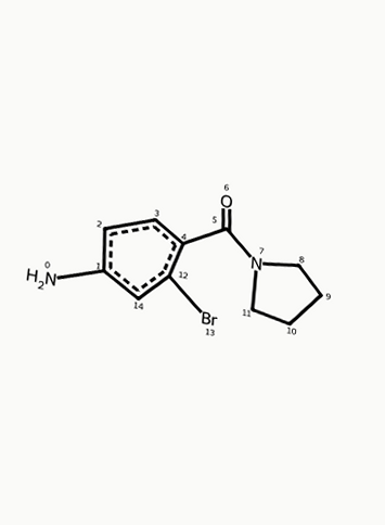 Nc1ccc(C(=O)N2CCCC2)c(Br)c1